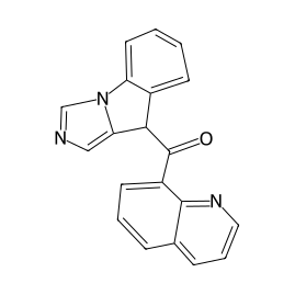 O=C(c1cccc2cccnc12)C1c2ccccc2-n2cncc21